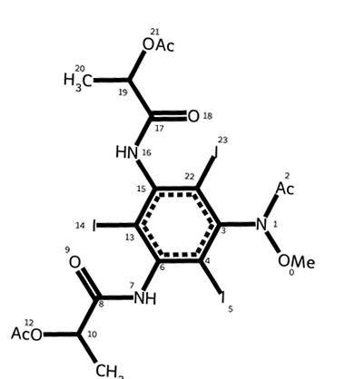 CON(C(C)=O)c1c(I)c(NC(=O)C(C)OC(C)=O)c(I)c(NC(=O)C(C)OC(C)=O)c1I